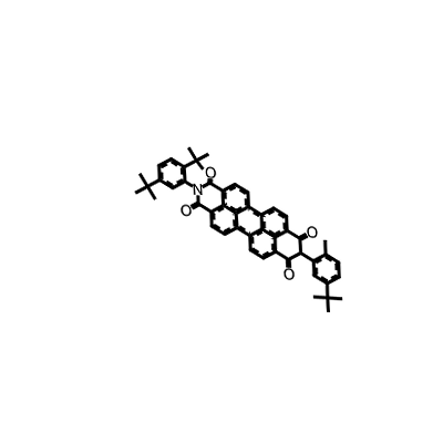 Cc1ccc(C(C)(C)C)cc1C1C(=O)c2ccc3c4ccc5c6c(ccc(c7ccc(c2c37)C1=O)c64)C(=O)N(c1cc(C(C)(C)C)ccc1C(C)(C)C)C5=O